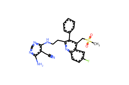 CS(=O)(=O)Cc1c(-c2ccccc2)c(CCNc2ncnc(N)c2C#N)nc2ccc(F)cc12